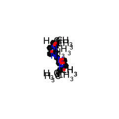 Cc1cc([Si](C)(C)C)ccc1N(c1c(C)cccc1-c1ccccc1)c1ccc2c3cc4c(cc3n3c5ccccc5c1c23)c1ccc(N(c2ccc([Si](C)(C)C)cc2C)c2c(C)cccc2-c2ccccc2)c2c3ccccc3n4c12